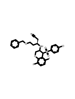 N#CC[C@H](CCOCc1ccccc1)NC1COc2c(F)ccc(F)c2C1S(=O)(=O)c1ccc(Cl)cc1